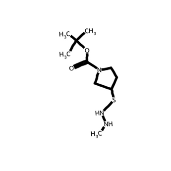 CNNSC1CCN(C(=O)OC(C)(C)C)C1